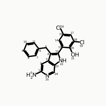 Nc1cc2c(Cc3ccccc3)c(-c3cc(Cl)cc(Cl)c3O)[nH]c2cn1